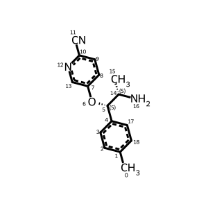 Cc1ccc([C@H](Oc2ccc(C#N)nc2)[C@H](C)N)cc1